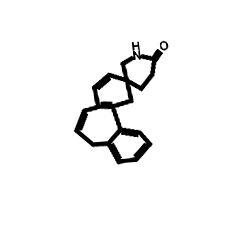 O=C1CCC2(C=CC3=C(C2)c2ccccc2CC=C3)CN1